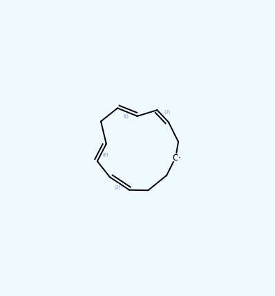 [CH]1C/C=C\C=C\C/C=C/C=C\CC1